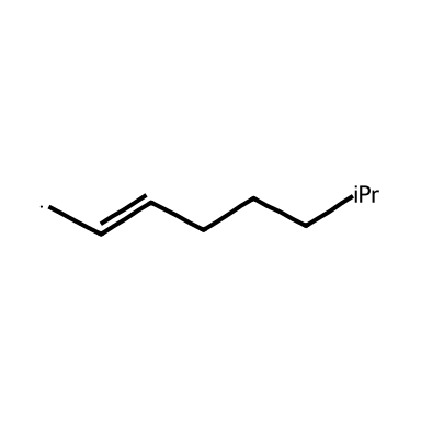 [CH2]C=CCCCC(C)C